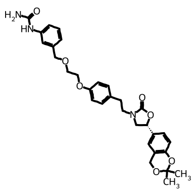 CC1(C)OCc2cc([C@@H]3CN(CCc4ccc(OCCOCc5cccc(NC(N)=O)c5)cc4)C(=O)O3)ccc2O1